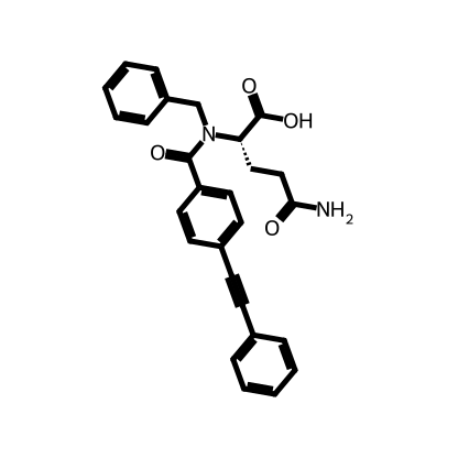 NC(=O)CC[C@@H](C(=O)O)N(Cc1ccccc1)C(=O)c1ccc(C#Cc2ccccc2)cc1